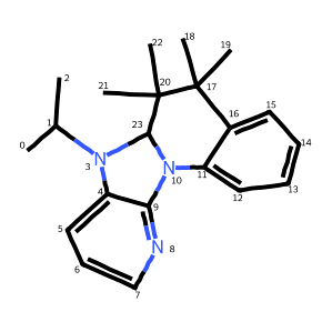 CC(C)N1c2cccnc2N2c3ccccc3C(C)(C)C(C)(C)C21